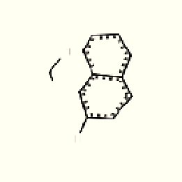 CCO.Nc1ccc2ccccc2c1